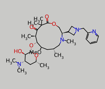 CO[C@@H]1C[C@@H](C)CN(C)[C@H](C2CN(Cc3ccccn3)C2)COC(=O)C(C)(C)C(=O)[C@H](C)[C@H]1O[C@@H]1O[C@H](C)C[C@H](N(C)C)[C@H]1O